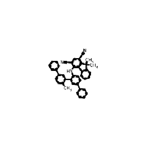 Cc1ccc(-c2ccccc2)cc1-c1cc(-c2ccccc2)ccc1Nc1c(C#N)cc(C#N)c2c1-c1ccccc1C2(C)C